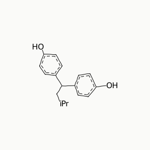 CC(C)CC(c1ccc(O)cc1)c1ccc(O)cc1